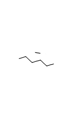 CCCCCCCCCCCC(=O)OCC.CO